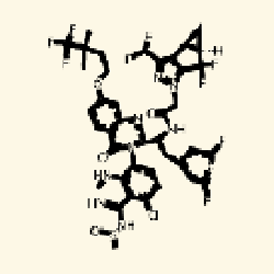 CNc1c(-n2c(C(Cc3cc(F)cc(F)c3)NC(=O)Cn3nc(C(F)F)c4c3C(F)(F)[C@@H]3CC43)nc3cc(OCCC(C)(C)C(F)(F)F)ccc3c2=O)ccc(Cl)c1C(=N)N[S+](C)[O-]